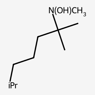 CC(C)CCCC(C)(C)N(C)O